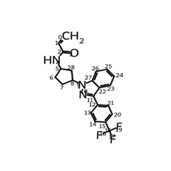 C=CC(=O)NC1CCC(n2nc(-c3ccc(C(F)(F)F)cc3)c3ccccc32)C1